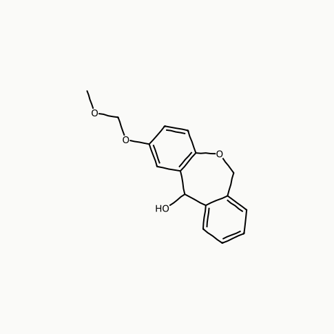 COCOc1ccc2c(c1)C(O)c1ccccc1CO2